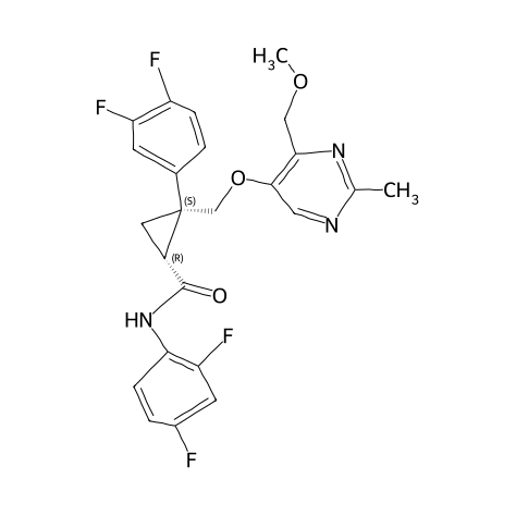 COCc1nc(C)ncc1OC[C@@]1(c2ccc(F)c(F)c2)C[C@H]1C(=O)Nc1ccc(F)cc1F